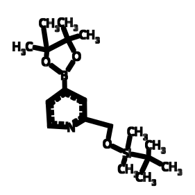 CC1(C)OB(c2ccnc(CO[Si](C)(C)C(C)(C)C)c2)OC1(C)C